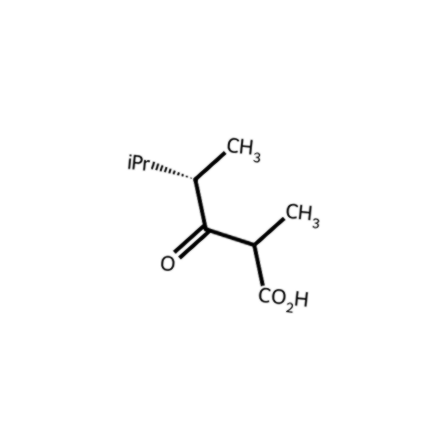 CC(C(=O)O)C(=O)[C@@H](C)C(C)C